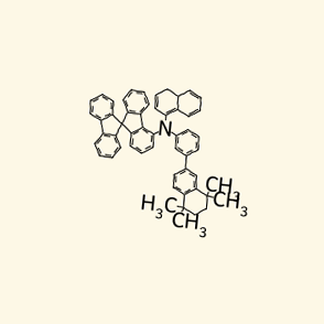 CC1(C)CCC(C)(C)c2cc(-c3cccc(N(C4=C5C=CC=CC5CC=C4)c4cccc5c4-c4ccccc4C54c5ccccc5-c5ccccc54)c3)ccc21